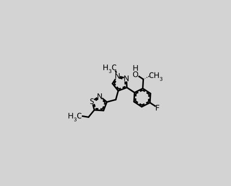 CCc1cc(Cc2cn(C)nc2-c2ccc(F)cc2[C@@H](C)O)ns1